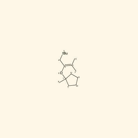 CC(C)=C(CC(C)(C)C)OC1(C)CCCC1